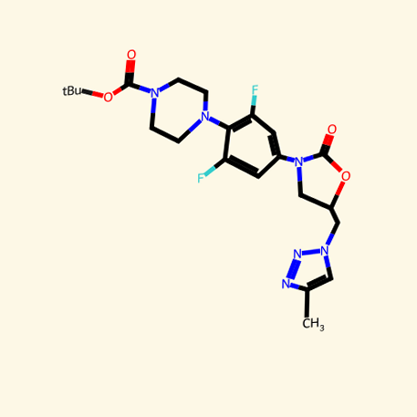 Cc1cn(CC2CN(c3cc(F)c(N4CCN(C(=O)OC(C)(C)C)CC4)c(F)c3)C(=O)O2)nn1